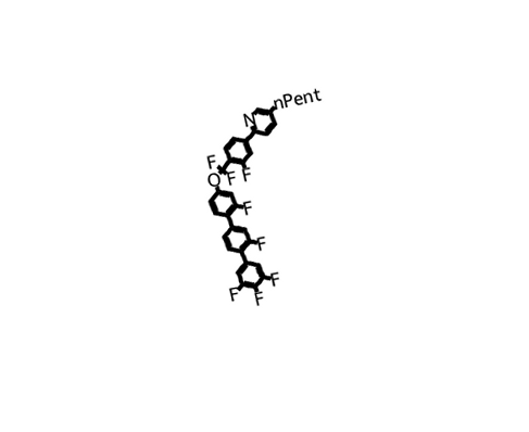 CCCCCc1ccc(-c2ccc(C(F)(F)Oc3ccc(-c4ccc(-c5cc(F)c(F)c(F)c5)c(F)c4)c(F)c3)c(F)c2)nc1